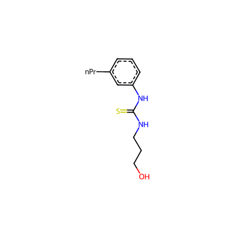 CCCc1cccc(NC(=S)NCCCO)c1